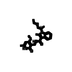 CCOC[C@@H](C)n1c(C)c(C(=O)NCc2c(SC)cc(C)[nH]c2=O)c2ccccc21